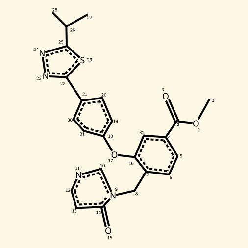 COC(=O)c1ccc(Cn2cnccc2=O)c(Oc2ccc(-c3nnc(C(C)C)s3)cc2)c1